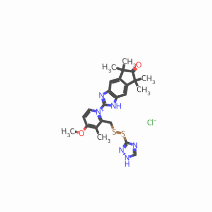 COc1cc[n+](-c2nc3cc4c(cc3[nH]2)C(C)(C)C(=O)C4(C)C)c(CSSc2nc[nH]n2)c1C.[Cl-]